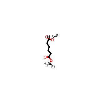 CC[SiH2]OC(=O)CCCCC(=O)O[SiH2]CC